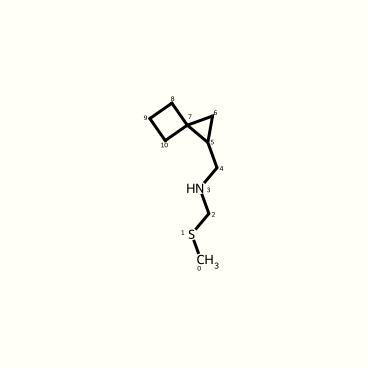 CSCNCC1CC12CCC2